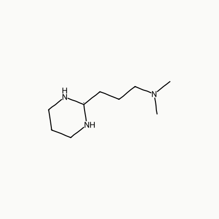 CN(C)CCC[C]1NCCCN1